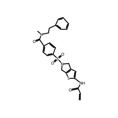 C=CC(=O)Nc1cc2c(s1)CN(S(=O)(=O)c1ccc(C(=O)N(C)CCc3ccccc3)cc1)C2